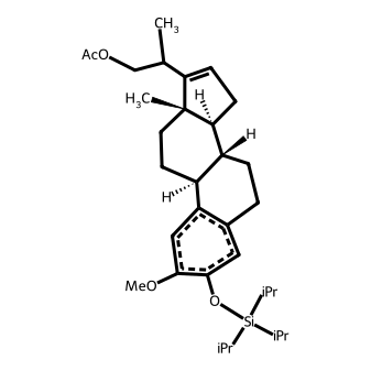 COc1cc2c(cc1O[Si](C(C)C)(C(C)C)C(C)C)CC[C@@H]1[C@@H]2CC[C@]2(C)C(C(C)COC(C)=O)=CC[C@@H]12